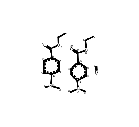 C=O.CCOC(=O)c1ccc(N(C)C)cc1.CCOC(=O)c1ccc(N(C)C)cc1